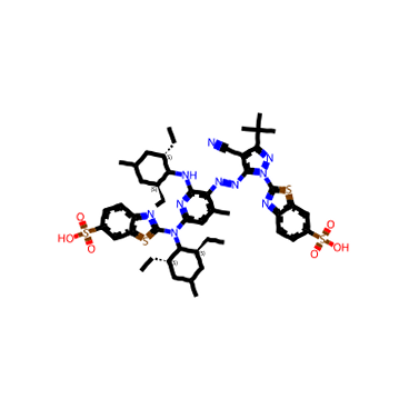 CC[C@H]1CC(C)C[C@H](CC)C1Nc1nc(N(c2nc3ccc(S(=O)(=O)O)cc3s2)C2[C@@H](CC)CC(C)C[C@@H]2CC)cc(C)c1N=Nc1c(C#N)c(C(C)(C)C)nn1-c1nc2ccc(S(=O)(=O)O)cc2s1